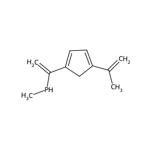 C=C(C)C1=CC=C(C(=C)PC)C1